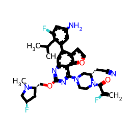 C=C(F)C(=O)N1CCN(c2nc(OC[C@@H]3C[C@@H](F)CN3C)nc3cc(-c4cc(N)cc(F)c4C(C)C)c4ccoc4c23)C[C@@H]1CC#N